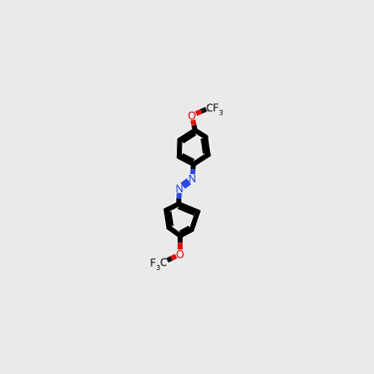 FC(F)(F)Oc1ccc(N=Nc2ccc(OC(F)(F)F)cc2)cc1